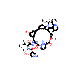 CCn1c(-c2cccnc2C(C)C)c2c3cc(ccc31)-c1cc(O)cc(c1)C[C@H](NC(=O)[C@H](C(C)C)N(C)C(=O)[C@@H]1CNC[C@@H]1O)C(=O)N1CCC[C@H](N1)C(=O)OCC(C)(C)C2